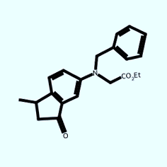 CCOC(=O)CN(Cc1ccccc1)c1ccc2c(c1)C(=O)CC2C